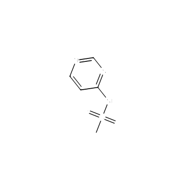 CS(=O)(=O)Nc1ccn[c]n1